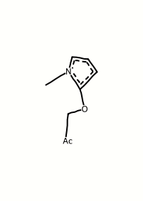 CC(=O)COc1cccn1C